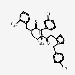 CC[C@H](C)[C@@H](CN(Cc1ccccc1C(F)(F)F)C(=S)Nc1cccc(Cl)c1)NC(=O)Cc1cncn1Cc1ccc(C#N)cc1